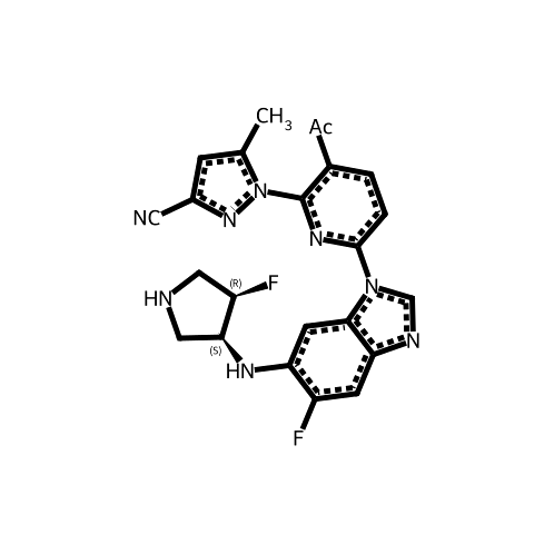 CC(=O)c1ccc(-n2cnc3cc(F)c(N[C@H]4CNC[C@H]4F)cc32)nc1-n1nc(C#N)cc1C